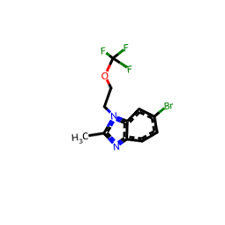 Cc1nc2ccc(Br)cc2n1CCOC(F)(F)F